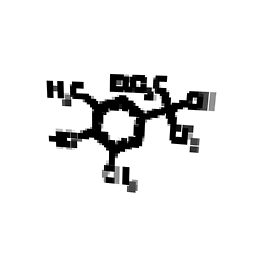 CCOC(=O)C(O)(c1cc(C)c(O)c(C)c1)C(F)(F)F